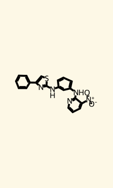 O=[N+]([O-])c1cccnc1Nc1cccc(Nc2nc(-c3ccccc3)cs2)c1